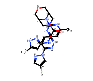 Cc1cc(Nc2cc(C)[nH]n2)nc(N2C3COCC2CN(C(=O)c2ccc(-n4cc(F)cn4)nn2)C3)n1